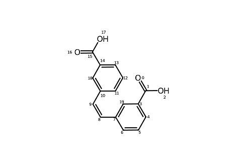 O=C(O)c1cccc(/C=C\c2cccc(C(=O)O)c2)c1